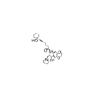 O=C(CCCC#CC1(O)CCCCC1)N[C@H](CN1CCCC1)[C@H](O)c1ccc2c(c1)OCCO2